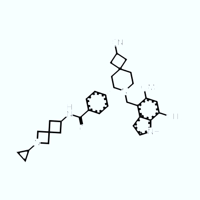 COc1cc(C)c2[nH]ccc2c1CN1CCC2(CC(C#N)C2)C[C@H]1c1ccc(C(=O)NC2CC3(C2)CN(C2CC2)C3)cc1